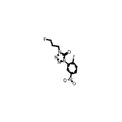 O=c1n(CCCF)nnn1-c1cc([N+](=O)[O-])ccc1F